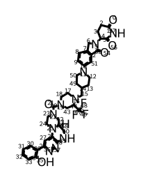 O=C1CCC(N2Cc3ccc(N4CCC(CN5CCN(C(=O)N6CCN7c8cc(-c9ccccc9O)nnc8NC[C@H]7C6)CC5C(F)(F)F)CC4)cc3C2=O)C(=O)N1